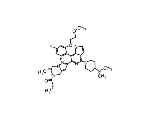 C=CC(=O)N1Cc2cc(-c3nc(N4CCC(N(C)C)CC4)c4ccsc4c3-c3c(F)cc(F)cc3OCCOC)nn2C[C@H]1C